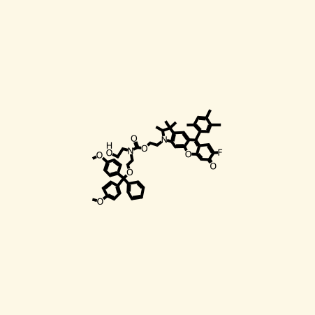 COc1ccc(C(OCCN(CCO)C(=O)OCCN2c3cc4oc5cc(=O)c(F)cc-5c(-c5cc(C)c(C)cc5C)c4cc3C(C)(C)C2C)(c2ccccc2)c2ccc(OC)cc2)cc1